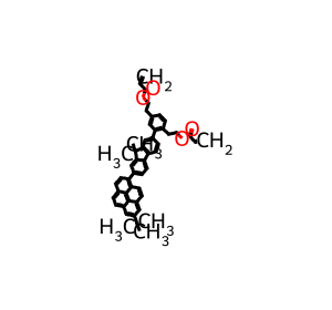 C=CC(=O)OCCc1ccc(CCOC(=O)C=C)c(-c2ccc3c(c2)C(C)(C)c2cc(-c4ccc5ccc6cc(C(C)(C)C)cc7ccc4c5c67)ccc2-3)c1